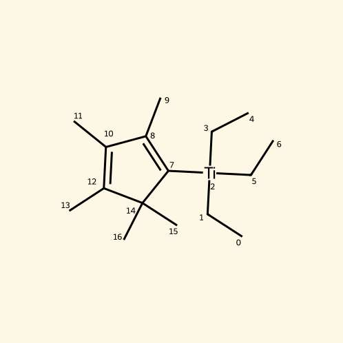 C[CH2][Ti]([CH2]C)([CH2]C)[C]1=C(C)C(C)=C(C)C1(C)C